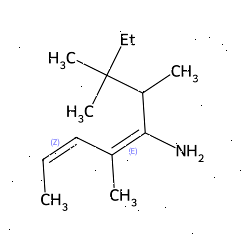 C/C=C\C(C)=C(\N)C(C)C(C)(C)CC